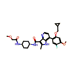 COCC(=O)N[C@H]1CC[C@@H](NC(=O)c2c(C)[nH]c3c(-c4cc(F)c(OC)cc4OCC4CC4)ccnc23)CC1